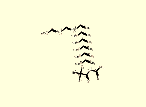 C=CCCCCCCCC.C=CCCCCCCCC.C=CCCCCCCCC.C=CCCCCCCCC.C=CCCCCCCCC.C=CCCCCCCCC.C=CCCCCCCCC.C=CCCCCCCCC.CCC(Br)(CC)C(=O)NC(N)=O